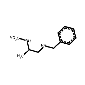 C[C@H](CNCc1ccccc1)NC(=O)O